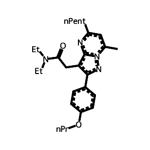 CCCCCc1cc(C)n2nc(-c3ccc(OCCC)cc3)c(CC(=O)N(CC)CC)c2n1